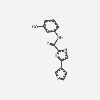 O=C(Nc1cccc(O)c1)c1ncc(-c2ccsc2)s1